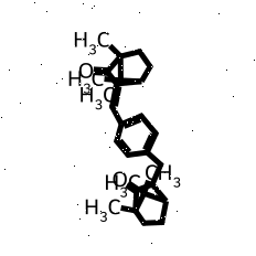 CC12CCC(/C(=C\c3ccc(CC4C(=O)C5(C)CCC4C5(C)C)cc3)C1=O)C2(C)C